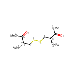 CNC(=O)[C@H](CSSC[C@H](NC(C)=O)C(=O)OC)NC(C)=O